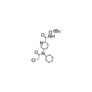 CC(C)(C)ONC(=O)c1ccc(N(C(=O)CCl)c2ccccc2)cn1